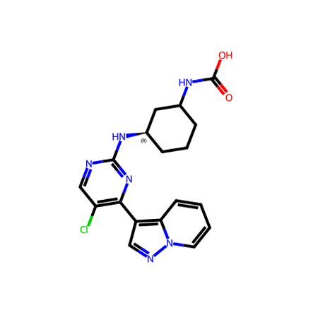 O=C(O)NC1CCC[C@@H](Nc2ncc(Cl)c(-c3cnn4ccccc34)n2)C1